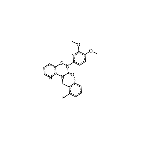 COc1ccc(N2Sc3cccnc3N(Cc3c(F)cccc3Cl)C2=O)nc1OC